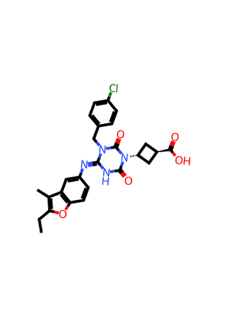 CCc1oc2ccc(/N=c3\[nH]c(=O)n([C@H]4C[C@H](C(=O)O)C4)c(=O)n3Cc3ccc(Cl)cc3)cc2c1C